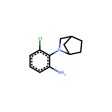 Nc1cccc(Cl)c1N1CC2CCC1C2